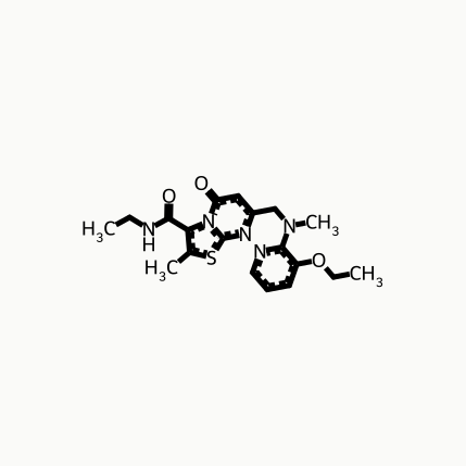 CCNC(=O)c1c(C)sc2nc(CN(C)c3ncccc3OCC)cc(=O)n12